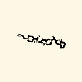 O=C(Nc1cc2n(n1)CCN(C(=O)c1cc3ccccc3[nH]1)C2)C1CCN(CCO)CC1